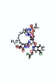 C[C@@H]1CCC=C[C@@H]2C[C@@]2(C(=O)NS(=O)(=O)C2CC2)NC(=O)[C@@H]2C[C@@H](Oc3nc(OCC(F)F)cc4c(Cl)cccc34)CN2C(=O)[C@@H](NC(=O)O)[C@H](C)C1